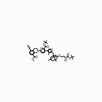 COC(=O)c1ccc(C#N)c2c1CN(c1ccc(-c3cnn(CC45CC6(C)CC(C)(C4)CC(OCCNC(=O)OC(C)(C)C)(C6)C5)c3C)c(C(=O)OC(C)(C)C)n1)CC2